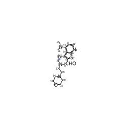 CN(/C=N\c1c(C=O)sc2nccc(N(C)C)c12)CCN1CCOCC1